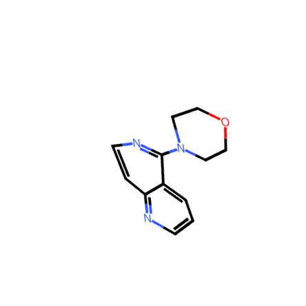 c1cnc2ccnc(N3CCOCC3)c2c1